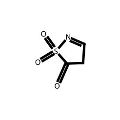 O=C1CC=NS1(=O)=O